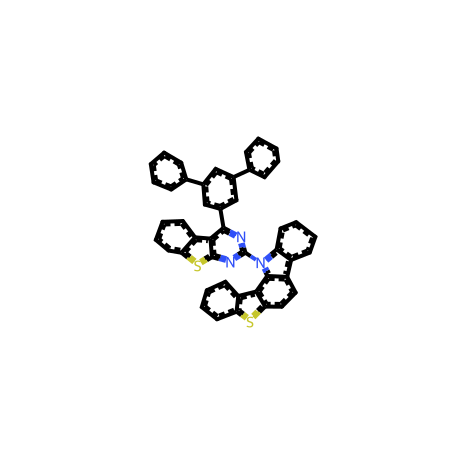 c1ccc(-c2cc(-c3ccccc3)cc(-c3nc(-n4c5ccccc5c5ccc6sc7ccccc7c6c54)nc4sc5ccccc5c34)c2)cc1